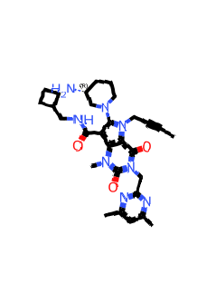 CC#CCn1c(N2CCC[C@@H](N)C2)c(C(=O)NCC2CCC2)c2c1c(=O)n(Cc1nc(C)cc(C)n1)c(=O)n2C